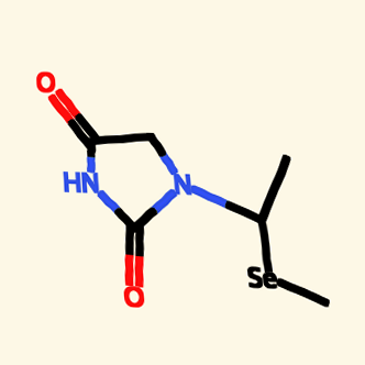 C[Se]C(C)N1CC(=O)NC1=O